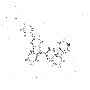 c1ccc(-c2ccc3c(c2)c2ccccc2n3-c2cc3c4c(cccc4n2)-c2cnccc2-3)cc1